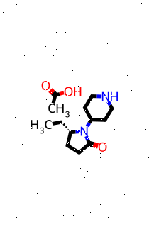 CC(=O)O.CC[C@H]1CCC(=O)N1C1CCNCC1